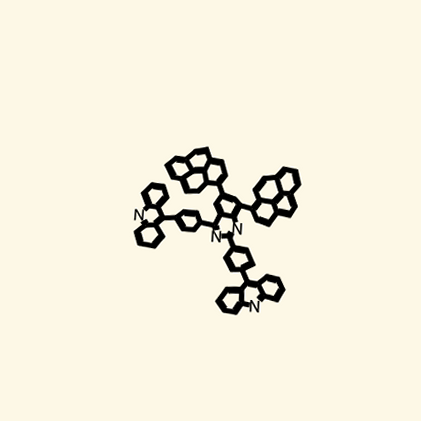 C1=CC(c2nc(-c3ccc(-c4c5ccccc5nc5ccccc45)cc3)nc3c(-c4ccc5ccc6cccc7ccc4c5c67)cc(C4=CC=c5ccc6cccc7c6c5C4CC=7)cc23)CC=C1c1c2ccccc2nc2ccccc12